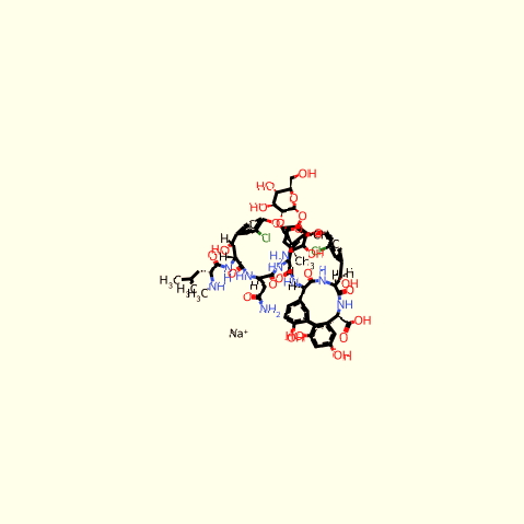 CN[C@H](CC(C)C)C(=O)N[C@H]1C(=O)N[C@@H](CC(N)=O)C(=O)N[C@H]2C(=O)N[C@H]3C(=O)N[C@H](C(=O)N[C@@H](C(=O)O)c4cc(O)cc(O)c4-c4cc3ccc4O)[C@H](O)c3ccc(c(Cl)c3)Oc3cc2cc(c3O[C@@H]2O[C@H](CO)[C@@H](O)[C@H](O)[C@H]2O[C@H]2C[C@](C)(N)C(O)[C@H](C)O2)Oc2ccc(cc2Cl)[C@H]1O.[Na+]